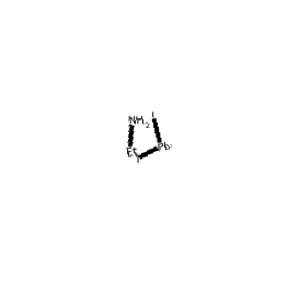 CCN.[I][Pb][I]